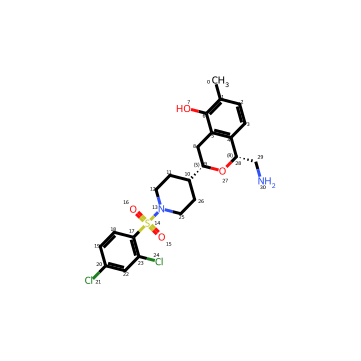 Cc1ccc2c(c1O)C[C@@H](C1CCN(S(=O)(=O)c3ccc(Cl)cc3Cl)CC1)O[C@H]2CN